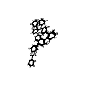 c1ccc(-c2nc3cc(-c4cc5oc6cccc(-c7ccc(N(c8ccccc8)c8cccc9sc%10ccccc%10c89)cc7)c6c5c5ccccc45)ccc3o2)cc1